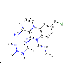 C=NN(C)N(C)C(C)/N=C(/c1nccnc1N)N(/C=N/CC)c1ccc(CCl)cc1